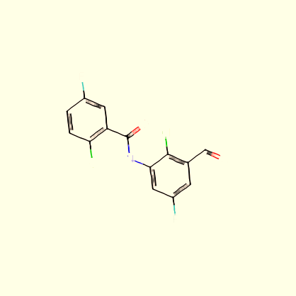 O=[C]c1cc(F)cc(NC(=O)c2cc(F)ccc2Cl)c1Cl